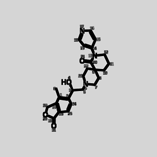 Cc1c([C@@H](O)CN2CCC3(CCCN(c4ccncc4)C3=O)CC2)ccc2c1COC2=O